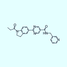 CCC(=O)N1CCc2cc(-c3ncc(C(=O)NCc4cccnc4)cn3)ccc21